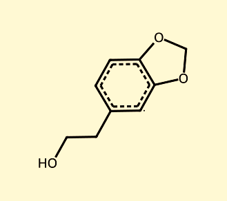 OCCc1[c]c2c(cc1)OCO2